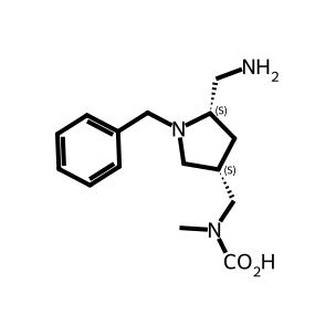 CN(C[C@H]1C[C@@H](CN)N(Cc2ccccc2)C1)C(=O)O